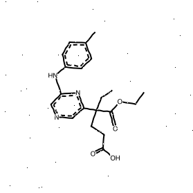 CCOC(=O)C(CC)(CCC(=O)O)c1cncc(Nc2ccc(C)cc2)n1